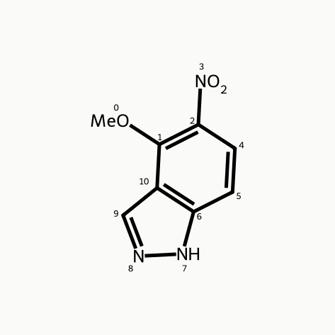 COc1c([N+](=O)[O-])ccc2[nH]ncc12